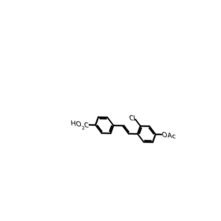 CC(=O)Oc1ccc(C=Cc2ccc(C(=O)O)cc2)c(Cl)c1